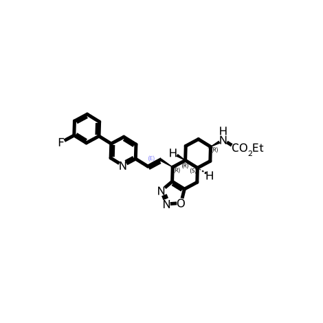 CCOC(=O)N[C@@H]1CC[C@@H]2[C@H](Cc3onnc3[C@H]2/C=C/c2ccc(-c3cccc(F)c3)cn2)C1